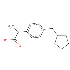 CC(C(=O)O)c1ccc(CC2CCCC2)cc1